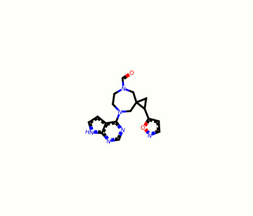 O=CN1CCN(c2ncnc3[nH]ccc23)CC2(CC2c2ccno2)C1